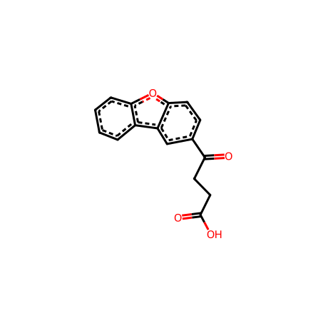 O=C(O)CCC(=O)c1ccc2oc3ccccc3c2c1